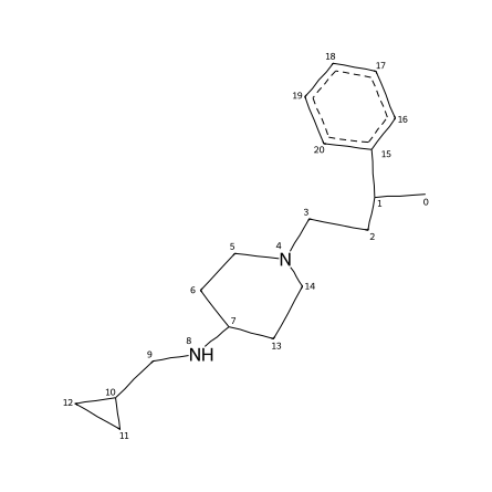 CC(CCN1CCC(NCC2CC2)CC1)c1ccccc1